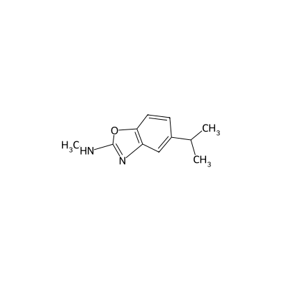 CNc1nc2cc(C(C)C)ccc2o1